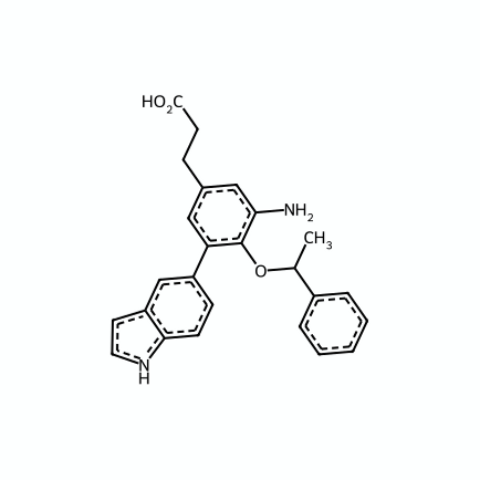 CC(Oc1c(N)cc(CCC(=O)O)cc1-c1ccc2[nH]ccc2c1)c1ccccc1